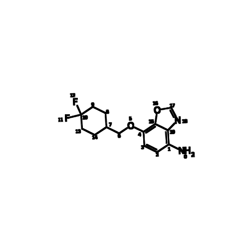 Nc1ccc(OCC2CCC(F)(F)CC2)c2ocnc12